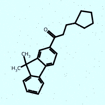 CC1(C)c2ccccc2-c2ccc(C(=O)CCC3CCCC3)cc21